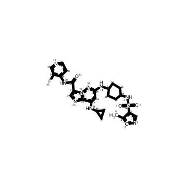 Cc1oncc1S(=O)(=O)NC1CCC(Nc2cc(NC3CC3)c3ncc(C(=O)Nc4ccncc4F)n3n2)CC1